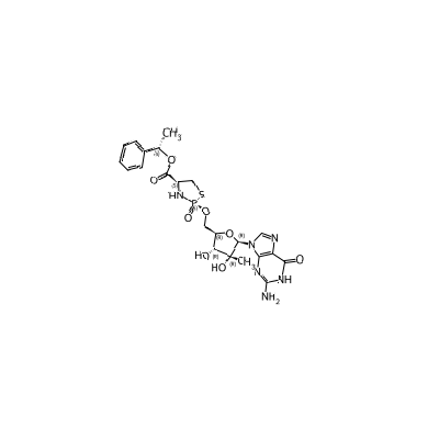 C[C@H](OC(=O)[C@H]1CS[P@@](=O)(OC[C@H]2O[C@@H](n3cnc4c(=O)[nH]c(N)nc43)[C@](C)(O)[C@@H]2O)N1)c1ccccc1